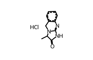 CC1C(=O)NC2=Nc3ccccc3CN21.Cl